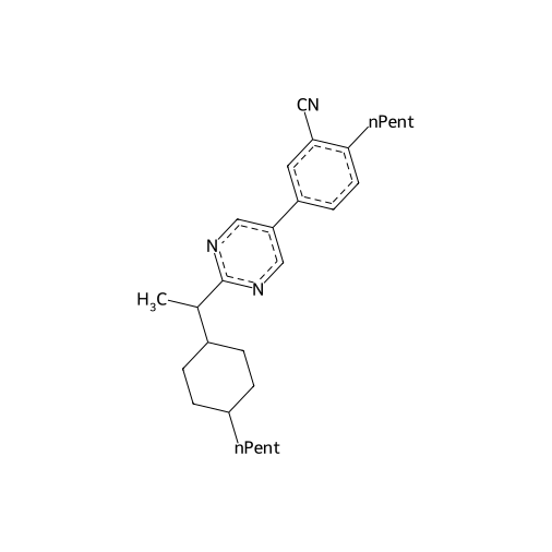 CCCCCc1ccc(-c2cnc(C(C)C3CCC(CCCCC)CC3)nc2)cc1C#N